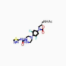 CC(=O)NC[C@H]1CN(c2cc(F)c(N3CCNN(C(=O)Nc4nncs4)CC3)c(F)c2)C(=O)O1